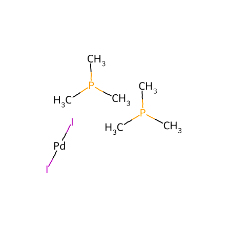 CP(C)C.CP(C)C.[I][Pd][I]